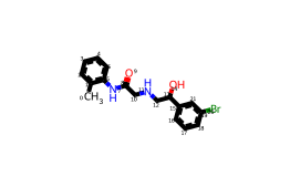 Cc1ccccc1NC(=O)CNCC(O)c1cccc(Br)c1